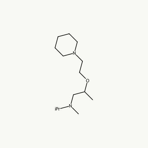 CC(CN(C)C(C)C)OCCN1CCCCC1